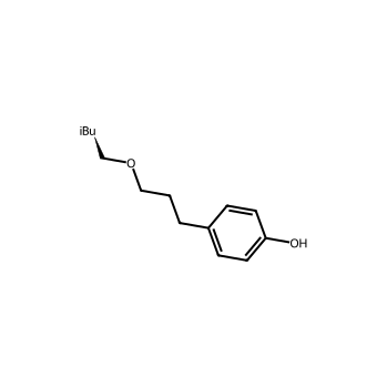 CC[C@H](C)COCCCc1ccc(O)cc1